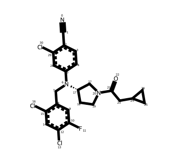 N#Cc1ccc(N(Cc2cc(F)c(Cl)cc2Cl)[C@H]2CCN(C(=O)CC3CC3)C2)cc1Cl